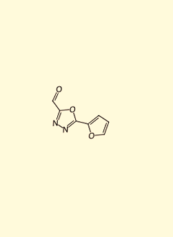 O=Cc1nnc(-c2ccco2)o1